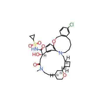 CN1CC[C@H]2CCO[C@@H](C2)[C@@H]2CC[C@H]2CN2CCCCc3cc(Cl)ccc3COc3ccc(cc32)[C@@](O)(C(=O)NS(=O)(=O)C2CC2)CC1=O